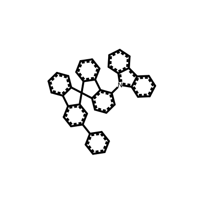 c1ccc(-c2ccc3c(c2)C2(c4ccccc4-3)c3ccccc3-c3c(-n4c5ccccc5c5ccccc54)cccc32)cc1